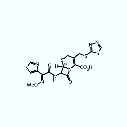 CON=C(C(=O)NC1C(=O)N2C(C(=O)O)=C(CSc3nncs3)CS[C@@H]12)c1cscn1